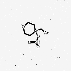 CC(=O)C[N+]1(O[SH](=O)=O)CCOCC1